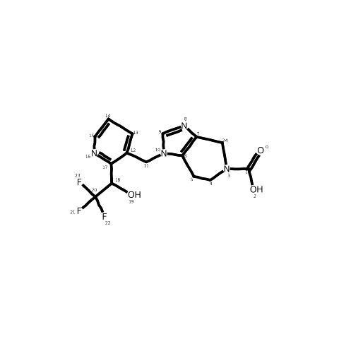 O=C(O)N1CCc2c(ncn2Cc2cccnc2C(O)C(F)(F)F)C1